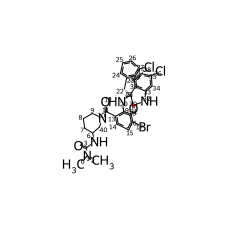 CN(C)C(=O)NC1CCCN(C(=O)c2ccc(Br)cc2N[C@]2(Cc3cccc(Cl)c3)C(=O)Nc3cc(Cl)ccc32)C1